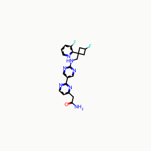 NC(=O)Cc1ccnc(-c2cnc(NCC3(c4ncccc4F)CC(F)C3)nc2)n1